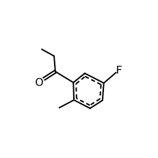 CCC(=O)c1cc(F)ccc1C